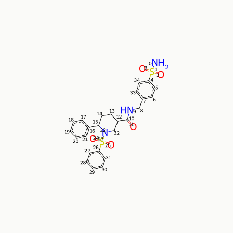 NS(=O)(=O)c1ccc(CNC(=O)C2CCC(c3ccccc3)N(S(=O)(=O)c3ccccc3)C2)cc1